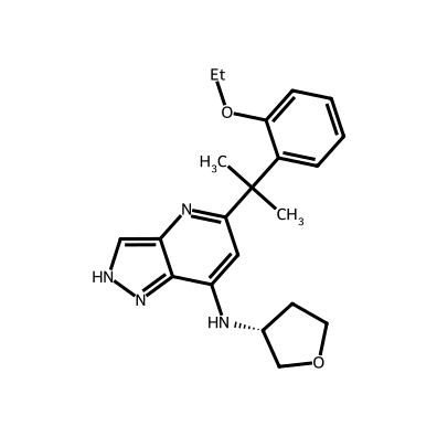 CCOc1ccccc1C(C)(C)c1cc(N[C@@H]2CCOC2)c2n[nH]cc2n1